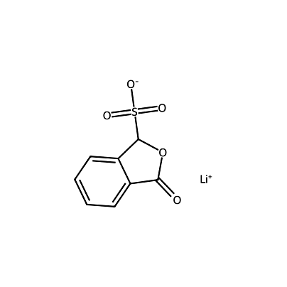 O=C1OC(S(=O)(=O)[O-])c2ccccc21.[Li+]